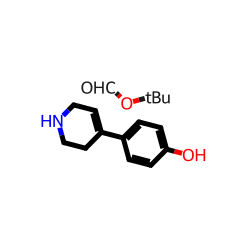 CC(C)(C)OC=O.Oc1ccc(C2=CCNCC2)cc1